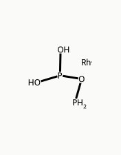 OP(O)OP.[Rh]